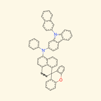 c1ccc(N(c2ccc3c4ccccc4n(-c4ccc5ccccc5c4)c3c2)c2ccc3c4c(cccc24)C2(c4ccccc4Oc4ccccc42)c2ccccc2-3)cc1